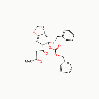 COC(=O)CC(=O)C1C=C2OCOC2=CC1(OCc1ccccc1)OC(=O)OCc1ccccc1